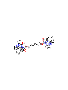 CC1(C)N[C@H]2CCCC[C@@H]2N(C(=O)OCCCCCCOC(=O)N2C(=O)C(C)(C)N[C@H]3CCCC[C@@H]32)C1=O